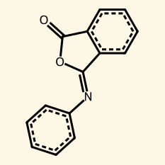 O=C1OC(=Nc2ccccc2)c2ccccc21